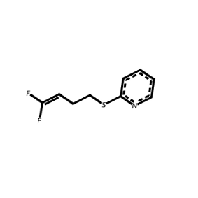 FC(F)=CCCSc1ccccn1